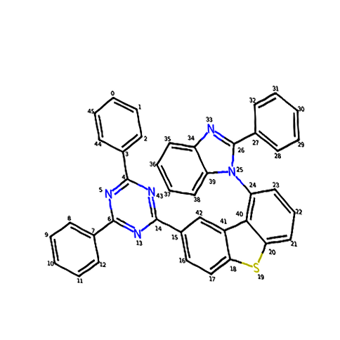 c1ccc(-c2nc(-c3ccccc3)nc(-c3ccc4sc5cccc(-n6c(-c7ccccc7)nc7ccccc76)c5c4c3)n2)cc1